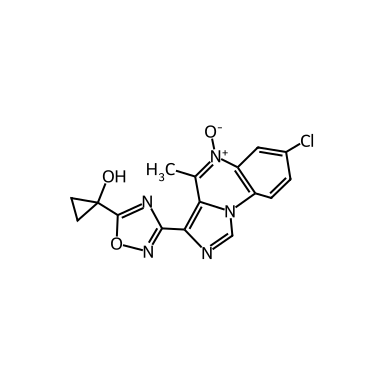 Cc1c2c(-c3noc(C4(O)CC4)n3)ncn2c2ccc(Cl)cc2[n+]1[O-]